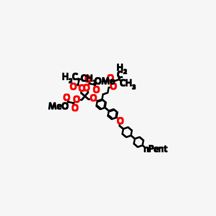 C=C(C)C(=O)OCCCc1cc(-c2ccc(OCC3CCC(C4CCC(CCCCC)CC4)CC3)cc2)ccc1OCC(COC(=O)C(=C)C)(COC(=O)C(=O)OC)COC(=O)C(=O)OC